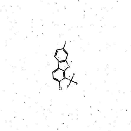 FC(F)(F)c1c(Cl)ccc2c1sc1cc(I)ccc12